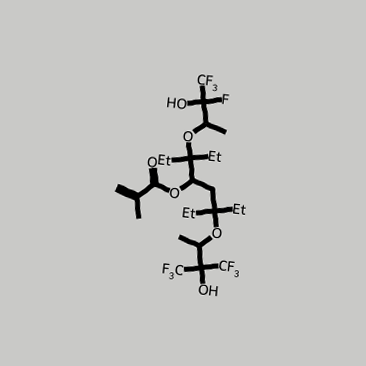 C=C(C)C(=O)OC(CC(CC)(CC)OC(C)C(O)(C(F)(F)F)C(F)(F)F)C(CC)(CC)OC(C)C(O)(F)C(F)(F)F